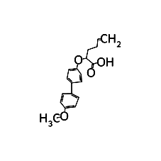 C=CCCC(Oc1ccc(-c2ccc(OC)cc2)cc1)C(=O)O